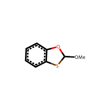 [CH2]OC1Oc2ccccc2S1